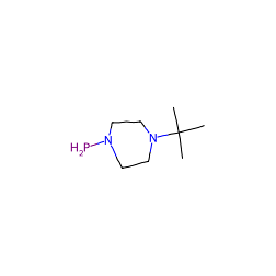 CC(C)(C)N1CCN(P)CC1